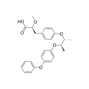 CO[C@@H](Cc1ccc(O[C@H](C)[C@@H](C)Oc2ccc(Oc3ccccc3)cc2)cc1)C(=O)O